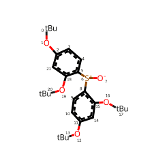 CC(C)(C)Oc1ccc([S+]([O-])c2ccc(OC(C)(C)C)cc2OC(C)(C)C)c(OC(C)(C)C)c1